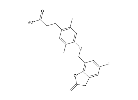 C=C1Cc2cc(F)cc(COc3cc(C)c(CCC(=O)O)cc3C)c2O1